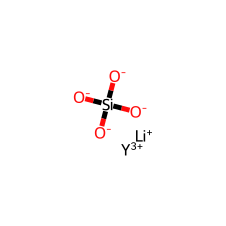 [Li+].[O-][Si]([O-])([O-])[O-].[Y+3]